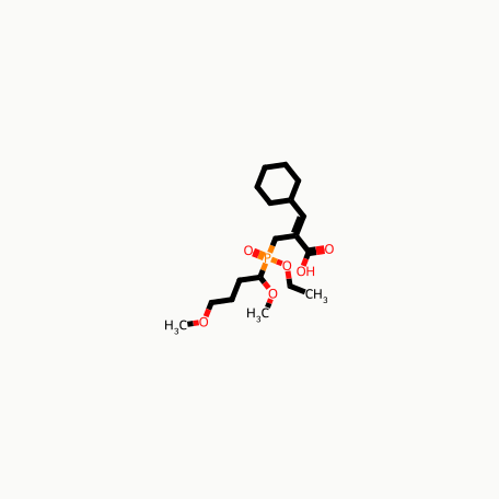 CCOP(=O)(CC(=CC1CCCCC1)C(=O)O)C(CCCOC)OC